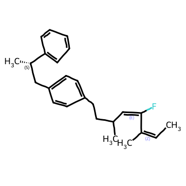 C/C=C(C)\C(F)=C/C(C)CCc1ccc(C[C@H](C)c2ccccc2)cc1